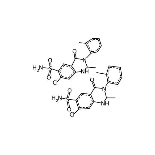 Cc1ccccc1N1C(=O)c2cc(S(N)(=O)=O)c(Cl)cc2NC1C.Cc1ccccc1N1C(=O)c2cc(S(N)(=O)=O)c(Cl)cc2NC1C